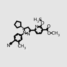 COC(=O)c1ccc(C2=NN(c3ccc(C#N)c(C)c3)[C@@H](C3CCCC3)C2)nc1OC